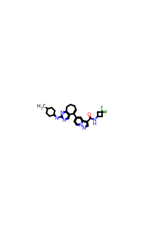 CC1CCC(=Nc2ncc3c(n2)CCCC=C3c2ccn3ncc(C(=O)NC4CC(F)(F)C4)c3c2)CC1